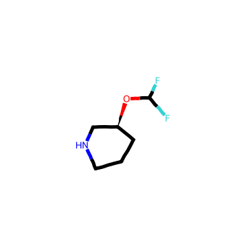 FC(F)O[C@H]1CCCNC1